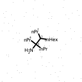 CCCCCCC(CCC)C(N)(CCC)CCC